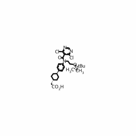 CC(C)(C)[Si](C)(C)OCCN(C(=O)c1c(Cl)ncnc1Cl)c1ccc([C@H]2CC[C@H](CC(=O)O)CC2)cc1